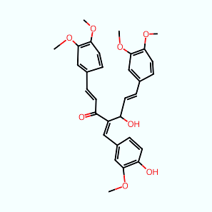 COc1cc(/C=C(/C(=O)/C=C/c2ccc(OC)c(OC)c2)C(O)/C=C/c2ccc(OC)c(OC)c2)ccc1O